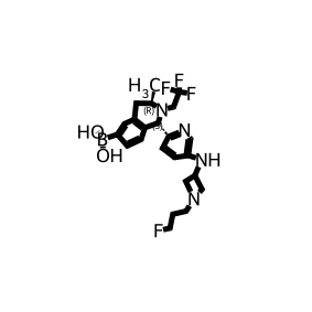 C[C@@H]1Cc2cc(B(O)O)ccc2[C@@H](c2ccc(NC3CN(CCCF)C3)cn2)N1CC(F)(F)F